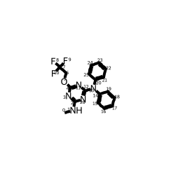 CNc1nc(OCC(F)(F)F)nc(N(c2ccccc2)c2ccccc2)n1